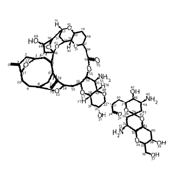 C=C1CC2CC3[C@@H]4CC(CCC1O2)OC(CC1O[C@H]2C[C@@H](O)[C@@H](C(C=O)C[C@@H]5OC6(C[C@H](N)C7OC(CO)C(O)CC7O6)C[C@H](N)[C@@H]5O)O[C@H]2[C@H](N)C1OC(=O)CC1CCC2O[C@@H]5CC(OC36CC(O)C5O6)[C@H]2O1)C4=C